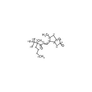 CCCCC(C)(C(=O)/C=C/C1C(C)CC2OC(=O)CC21)C(F)(F)F